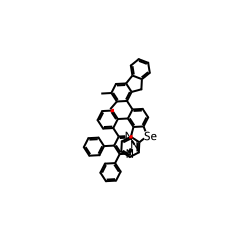 Cc1cc2c(c(-c3ccc4[se]c5ccccc5c4c3-c3ccccc3-c3nnnc(-c4ccccc4)c3-c3ccccc3)c1C)Cc1ccccc1-2